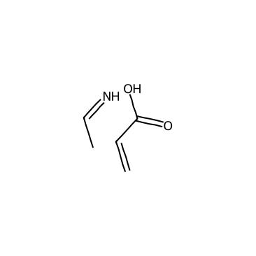 C=CC(=O)O.CC=N